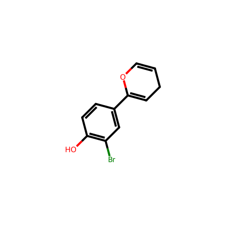 Oc1ccc(C2=CCC=CO2)cc1Br